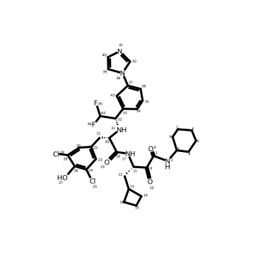 O=C(NC1CCCCC1)C(=O)[C@H](CC1CCC1)NC(=O)[C@H](Cc1cc(Cl)c(O)c(Cl)c1)N[C@@H](c1cccc(-n2ccnc2)c1)C(F)F